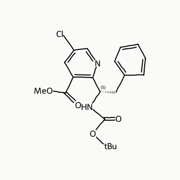 COC(=O)c1cc(Cl)cnc1[C@H](Cc1ccccc1)NC(=O)OC(C)(C)C